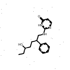 CCC(O)CCC(CNc1nccc(=O)[nH]1)c1ccccc1